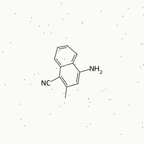 Cc1cc(N)c2ccccc2c1C#N